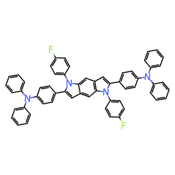 Fc1ccc(-n2c(-c3ccc(N(c4ccccc4)c4ccccc4)cc3)cc3cc4c(cc(-c5ccc(N(c6ccccc6)c6ccccc6)cc5)n4-c4ccc(F)cc4)cc32)cc1